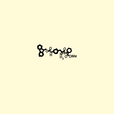 COC(=O)C1(NC(=O)C(N)Cc2ccc(NC(=O)OCC3c4ccccc4-c4ccccc43)cc2)CCCCC1